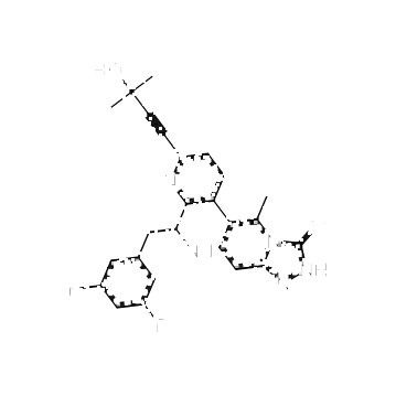 Cc1c(-c2ccc(C#CC(C)(C)O)nc2C(N)Cc2cc(F)cc(F)c2)ccc2n[nH]c(=O)n12